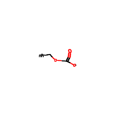 [CH2]CCCOC([O])=O